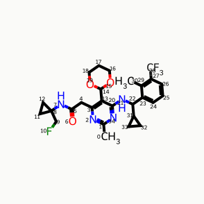 Cc1nc(CC(=O)NC2(CF)CC2)c(C2OCCCO2)c(NC(c2cccc(C(F)(F)F)c2C)C2CC2)n1